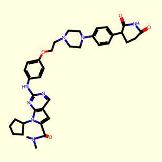 CN(C)C(=O)c1cc2cnc(Nc3ccc(OCCN4CCN(c5ccc(C6CCC(=O)NC6=O)cc5)CC4)cc3)nc2n1C1CCCC1